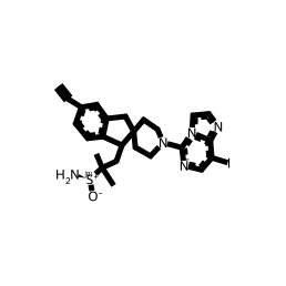 C#Cc1ccc2c(c1)CC1(CCN(c3ncc(I)c4nccn34)CC1)C2CC(C)(C)[S@@+](N)[O-]